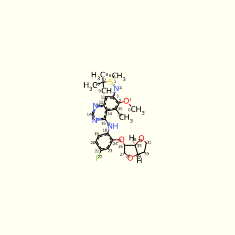 COc1c(/N=S(/C)C(C)(C)C)cc2ncnc(Nc3ccc(F)cc3OC3CO[C@@H]4CCO[C@H]34)c2c1C